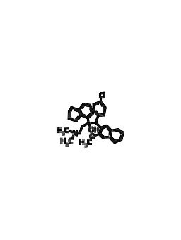 COc1cc2ccccc2cc1C(c1ccc(Cl)cc1)C(O)(CCN(C)C)c1cccc2ccccc12